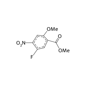 COC(=O)c1cc(F)c([N+](=O)[O-])cc1OC